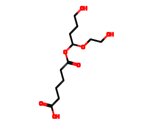 O=C(O)CCCCC(=O)OC(CCCO)OCCO